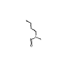 CCCCN(C)N=O